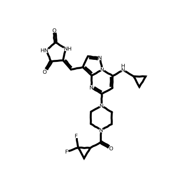 O=C1NC(=O)/C(=C/c2cnn3c(NC4CC4)cc(N4CCN(C(=O)C5CC5(F)F)CC4)nc23)N1